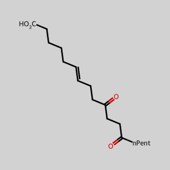 CCCCCC(=O)CCC(=O)CCC=CCCCCC(=O)O